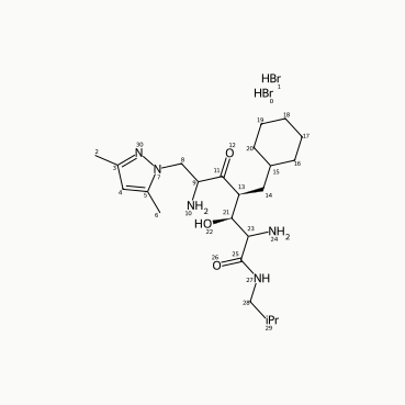 Br.Br.Cc1cc(C)n(CC(N)C(=O)[C@@H](CC2CCCCC2)[C@H](O)C(N)C(=O)NCC(C)C)n1